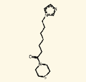 O=C(CCCCCCn1c[c]nc1)N1CCSCC1